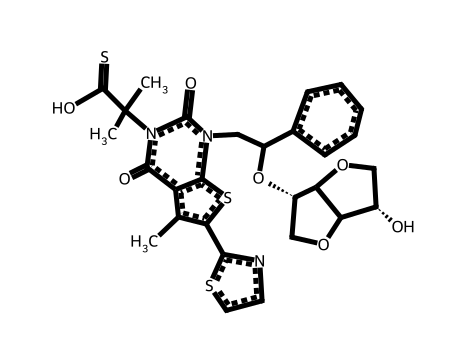 Cc1c(-c2nccs2)sc2c1c(=O)n(C(C)(C)C(O)=S)c(=O)n2CC(O[C@H]1COC2C1OC[C@@H]2O)c1ccccc1